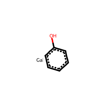 Oc1ccccc1.[Ga]